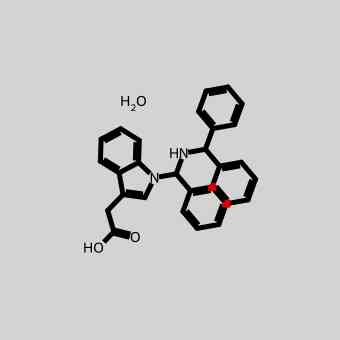 O.O=C(O)Cc1cn(C(NC(c2ccccc2)c2ccccc2)c2ccccc2)c2ccccc12